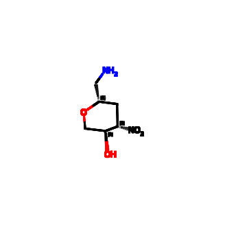 NC[C@@H]1C[C@H]([N+](=O)[O-])[C@@H](O)CO1